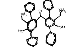 CCC(c1cc(-c2ccccc2)c(O)c(CN)c1-c1ccccc1)c1cc(-c2ccccc2)c(O)c(CN)c1-c1ccccc1